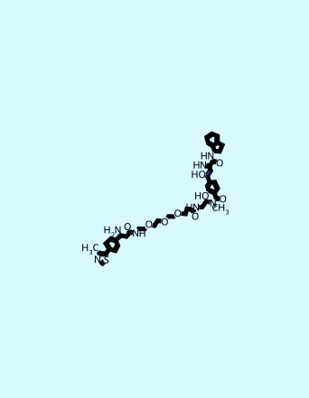 Cc1ncsc1-c1ccc([C@@H](N)CC(=O)NCCOCCOCCOCCC(=O)NCCN(C)C(=O)c2ccc(/C(O)=C/C(=N)C(=O)NC3CCc4ccccc43)cc2O)cc1